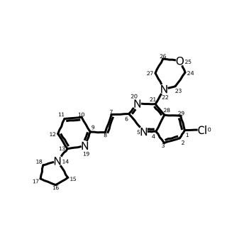 Clc1ccc2nc(/C=C/c3cccc(N4CCCC4)n3)nc(N3CCOCC3)c2c1